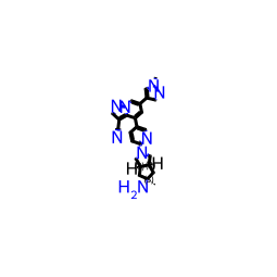 Cn1cc(-c2cc(-c3ccc(N4C[C@@H]5C[C@@](C)(N)C[C@@H]5C4)nc3)c3c(C#N)cnn3c2)cn1